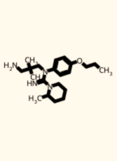 CCCOc1ccc(N(CC(C)(C)CN)C(=N)N2CCCCC2C)cc1